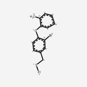 CCSCc1ccc(Oc2ccccc2C)c(Br)c1